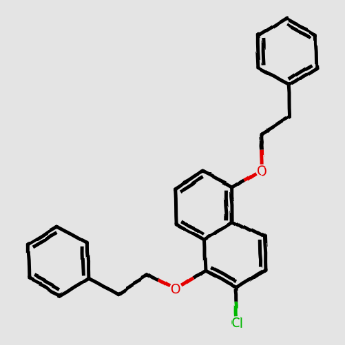 Clc1ccc2c(OCCc3ccccc3)cccc2c1OCCc1ccccc1